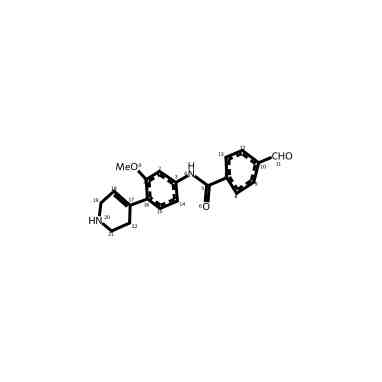 COc1cc(NC(=O)c2ccc(C=O)cc2)ccc1C1=CCNCC1